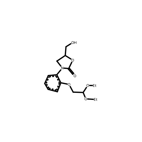 CCOC(COc1ccccc1N1CC(CO)OC1=O)OCC